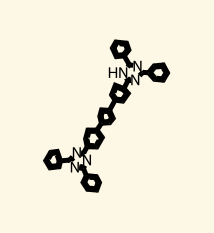 c1ccc(C2=NC(c3ccccc3)NC(c3ccc(-c4ccc(-c5ccc(-c6nc(-c7ccccc7)nc(-c7ccccc7)n6)cc5)cc4)cc3)=N2)cc1